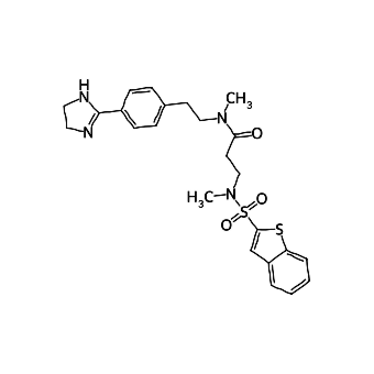 CN(CCc1ccc(C2=NCCN2)cc1)C(=O)CCN(C)S(=O)(=O)c1cc2ccccc2s1